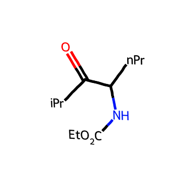 CCCC(NC(=O)OCC)C(=O)C(C)C